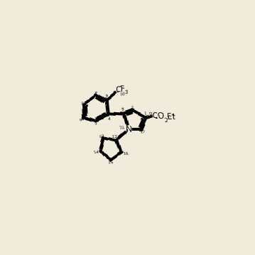 CCOC(=O)c1cc(-c2ccccc2C(F)(F)F)n(C2CCCC2)c1